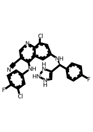 N#Cc1cnc2c(Cl)cc(N[C@H](C3=CNNN3)c3ccc(F)cc3)cc2c1Nc1ccc(F)c(Cl)c1